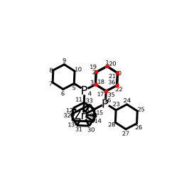 C1CCC(P(C2CCCCC2)[C]23[CH]4[CH]5[CH]6[C]2(P(C2CCCCC2)C2CCCCC2)[Zr]54632789[CH]3[CH]2[CH]7[CH]8[CH]39)CC1